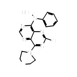 CN(c1ccccc1)c1ncnc2c(N3CCOCC3)nc(Cl)nc12